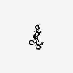 Cc1cn2nc([C@@H]3CCCCN3C(=O)c3ncccc3Br)cc2nc1N1CC[C@H](C)C1